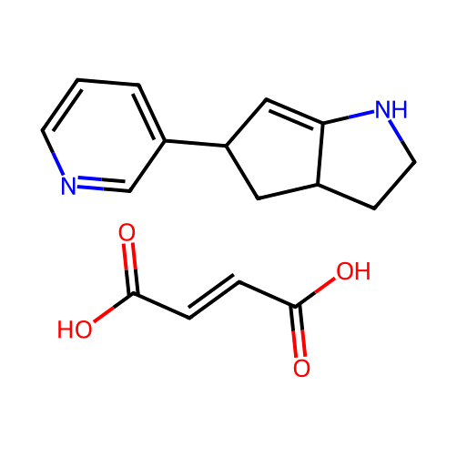 C1=C2NCCC2CC1c1cccnc1.O=C(O)C=CC(=O)O